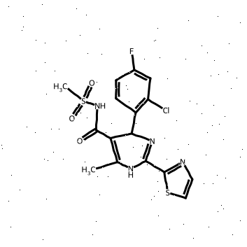 CC1=C(C(=O)NS(C)(=O)=O)C(c2ccc(F)cc2Cl)N=C(c2nccs2)N1